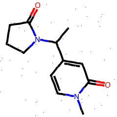 C[C](c1ccn(C)c(=O)c1)N1CCCC1=O